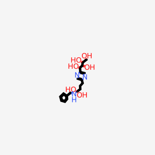 OCC(O)C(O)C(O)c1cnc(CCCC(O)(O)NCc2ccccc2)cn1